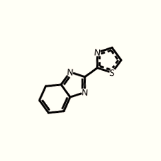 C1=CCC2=NC(c3nccs3)=NC2=C1